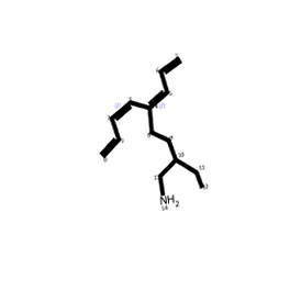 C=C/C=C\C(=C/C=C)CCC(CC)CN